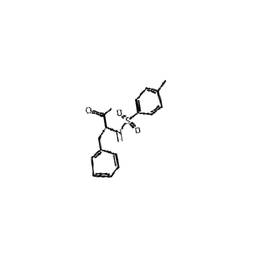 CC(=O)[C@H](Cc1ccccc1)NS(=O)(=O)c1ccc(C)cc1